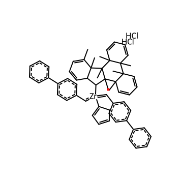 CC1=CC=CC2[CH]([Zr](=[CH]c3ccc(-c4ccccc4)cc3)(=[CH]c3ccc(-c4ccccc4)cc3)[C]3=CC=CC3)C3(C)C4(C)C=CC=CC4(C)C4(C)C=CC=CC4(C)C3(C)C12C.Cl.Cl